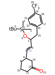 CC(C)(C)[Si](C)(C)OC(/C=C/C1CCCC(=O)C1)Cc1ccc(C(F)(F)F)cc1